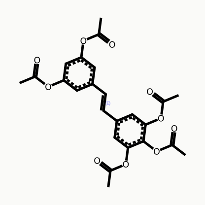 CC(=O)Oc1cc(/C=C/c2cc(OC(C)=O)c(OC(C)=O)c(OC(C)=O)c2)cc(OC(C)=O)c1